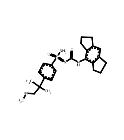 CNCC(C)(C)c1ccc(S(N)(=O)=NC(=O)Nc2c3c(cc4c2CCC4)CCC3)cc1